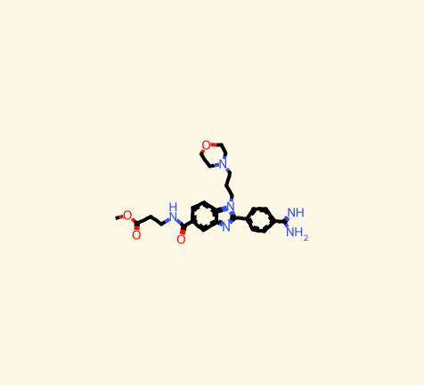 COC(=O)CCNC(=O)c1ccc2c(c1)nc(-c1ccc(C(=N)N)cc1)n2CCCN1CCOCC1